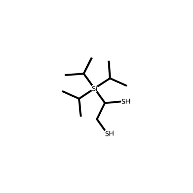 CC(C)[Si](C(C)C)(C(C)C)C(S)CS